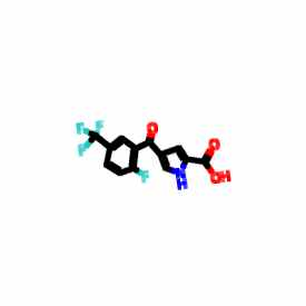 O=C(O)c1cc(C(=O)c2cc(C(F)(F)F)ccc2F)c[nH]1